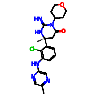 Cc1cnc(Nc2cccc([C@]3(C)CC(=O)N(C4CCOCC4)C(=N)N3)c2Cl)cn1